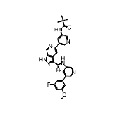 COc1cc(F)cc(-c2cncc3[nH]c(-c4n[nH]c5cnc(-c6cncc(NC(=O)C(C)(C)C)c6)cc45)nc23)c1